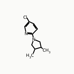 CC1CN(c2ccc(Cl)cn2)CC1C